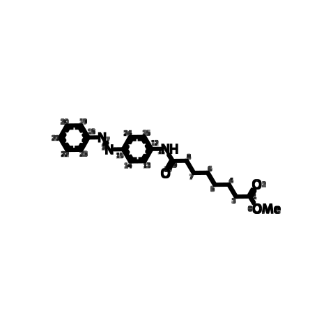 COC(=O)CCCCCCC(=O)Nc1ccc(N=Nc2ccccc2)cc1